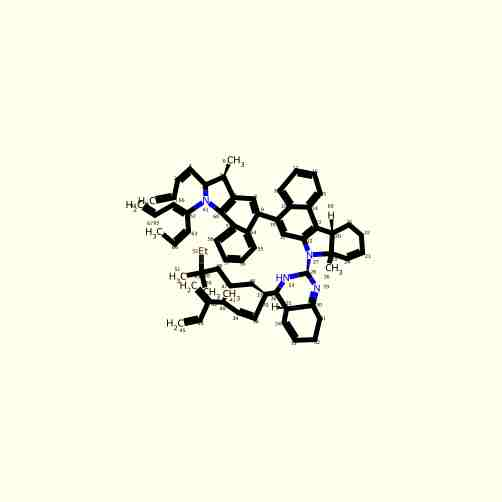 C=C/C=C\C1[C@@H](C)c2cc(-c3cc4c(c5ccccc35)[C@@H]3CCC=CC3(C)N4[C@H]3N=C4CCC=C[C@H]4C([C@@H](/C=C\[C@H](C)C(=C)C=C)CCCC(C)(C)CC)N3)c3ccccc3c2N1C(/C=C\C)=C/C=C